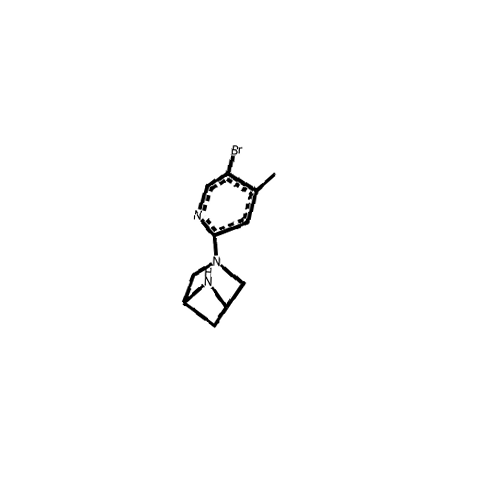 Cc1cc(N2CC3CC(C2)N3)ncc1Br